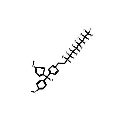 COc1ccc(C(Cl)(c2ccc(CCC(F)(F)C(F)(F)C(F)(F)C(F)(F)C(F)(F)C(F)(F)C(F)(F)C(F)(F)F)cc2)c2ccc(OC)cc2)cc1